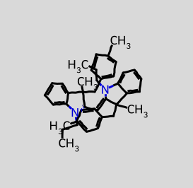 CCCN1C(=CC2=[N+](CCC)c3ccccc3C2(C)Cc2ccc(C)cc2)C(C)(Cc2ccc(C)cc2)c2ccccc21